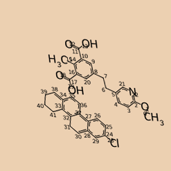 COc1ccc(CCc2cc(C(=O)O)c(C)c(C(=O)O)c2)cn1.Clc1ccc2c(c1)=CCc1c3c(ccc1=2)=CCCC3